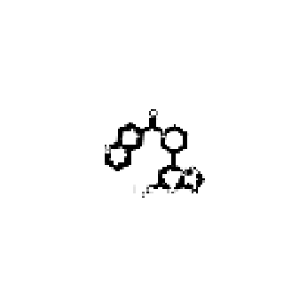 Cc1cc(C2CCCN(C(=O)c3ccc4ncccc4c3)C2)n2ncnc2n1